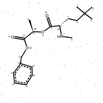 CN[C@@H](CCC(C)(C)C)C(=O)O[C@H](C)C(=O)OCc1ccccc1